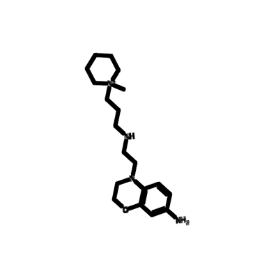 C[N+]1(CCCNCCN2CCOc3cc(N)ccc32)CCCCC1